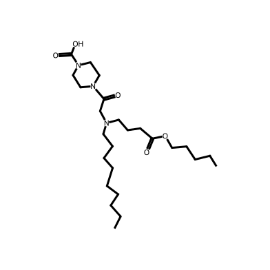 CCCCCCCCCN(CCCC(=O)OCCCCC)CC(=O)N1CCN(C(=O)O)CC1